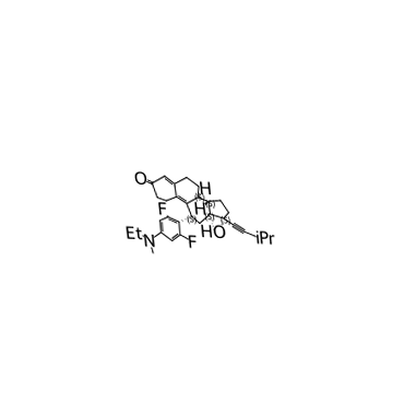 CCN(C)c1cc(F)c([C@H]2C[C@@]3(C)[C@@H](CC[C@@]3(O)C#CC(C)C)[C@@H]3CCC4=CC(=O)CCC4=C32)c(F)c1